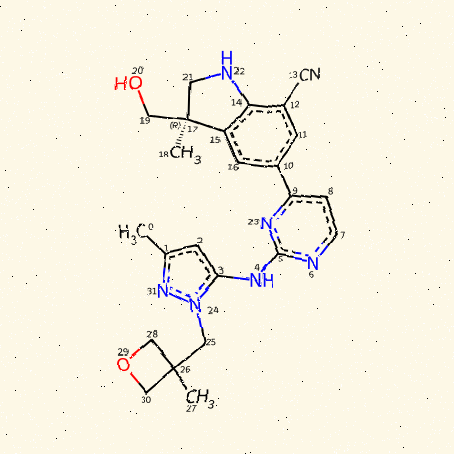 Cc1cc(Nc2nccc(-c3cc(C#N)c4c(c3)[C@@](C)(CO)CN4)n2)n(CC2(C)COC2)n1